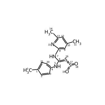 Cc1ccc(NC(Nc2cc(C)cc(C)n2)=S=S(=O)=O)cc1